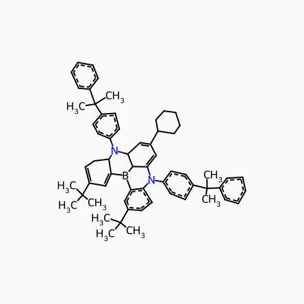 CC(C)(C)C1=CCC2C(=C1)B1c3cc(C(C)(C)C)ccc3N(c3ccc(C(C)(C)c4ccccc4)cc3)C3=CC(C4CCCCC4)=CC(C13)N2c1ccc(C(C)(C)c2ccccc2)cc1